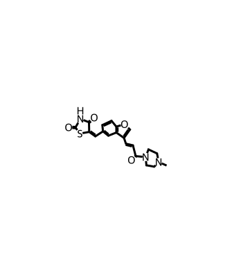 CN1CCN(C(=O)C=Cc2coc3ccc(C=C4SC(=O)NC4=O)cc23)CC1